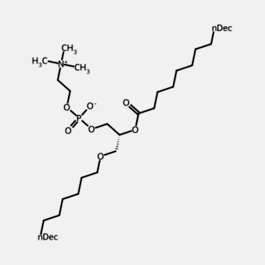 CCCCCCCCCCCCCCCCCC(=O)O[C@H](COCCCCCCCCCCCCCCCC)COP(=O)([O-])OCC[N+](C)(C)C